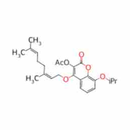 CC(=O)Oc1c(OCC=C(C)CCC=C(C)C)c2cccc(OC(C)C)c2oc1=O